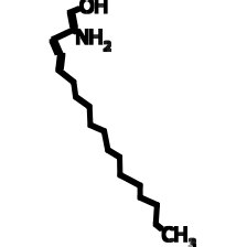 CCCCCCCCCCCCCC=C=CC(N)=CO